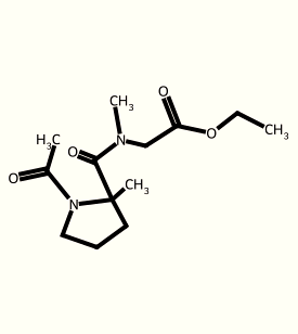 CCOC(=O)CN(C)C(=O)C1(C)CCCN1C(C)=O